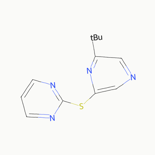 CC(C)(C)c1cncc(Sc2ncccn2)n1